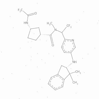 CN(C(=O)[C@@H]1CC[C@H](NC(=O)C(F)(F)F)C1)C(c1ccc(N[C@H]2Cc3ccccc3C2(C)C)cn1)C(F)(F)F